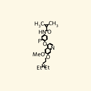 CCN(CC)CCCOc1cc2nccc(Oc3ccc(NC(=O)C4C(C)C4C)cc3F)c2cc1OC